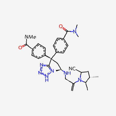 C=C(CN[C@@H](C)CC(c1ccc(C(=O)NC)cc1)(c1ccc(C(=O)N(C)C)cc1)c1nn[nH]n1)N1C(C#N)C[C@H](C)C1C